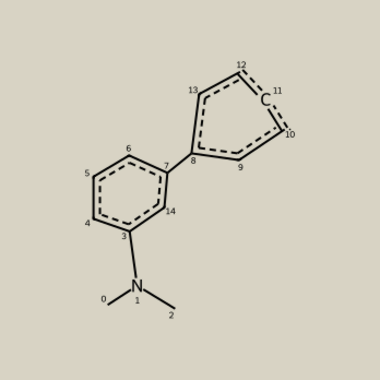 CN(C)c1cccc(-c2c[c]ccc2)c1